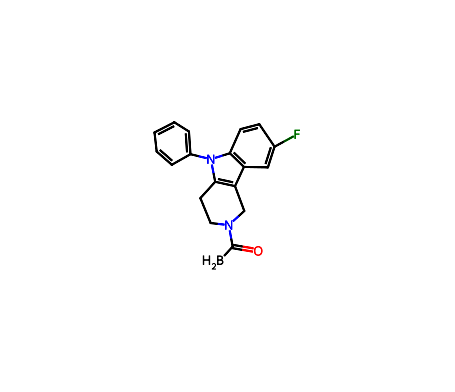 BC(=O)N1CCc2c(c3cc(F)ccc3n2-c2ccccc2)C1